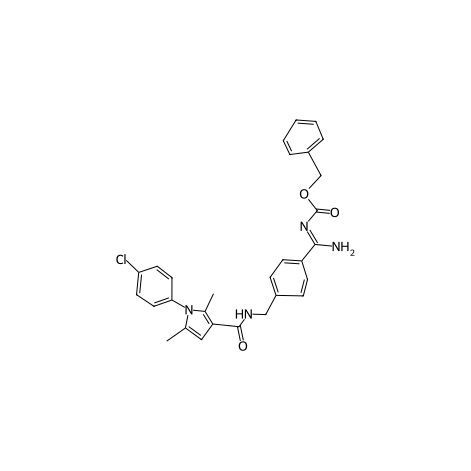 Cc1cc(C(=O)NCc2ccc(C(N)=NC(=O)OCc3ccccc3)cc2)c(C)n1-c1ccc(Cl)cc1